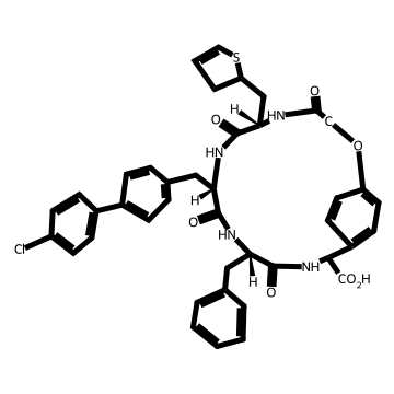 O=C1COc2ccc(cc2)C(C(=O)O)NC(=O)[C@H](Cc2ccccc2)NC(=O)[C@H](Cc2ccc(-c3ccc(Cl)cc3)cc2)NC(=O)[C@H](CC2CC=CS2)N1